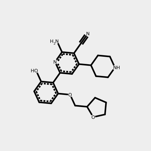 N#Cc1c(C2CCNCC2)cc(-c2c(O)cccc2OCC2CCCO2)nc1N